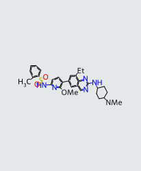 CCc1cc(-c2ccc(NS(=O)(=O)c3ccccc3C)nc2OC)cc2cnc(NC3CCC(NC)CC3)nc12